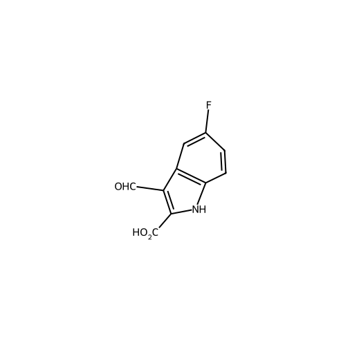 O=Cc1c(C(=O)O)[nH]c2ccc(F)cc12